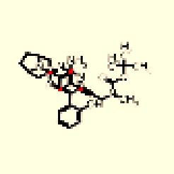 CN(CC#Cc1cnc(N2C3CCC2CN(c2cc(-c4ccccc4O)nnc2N)C3)nc1)C(=O)OC(C)(C)C